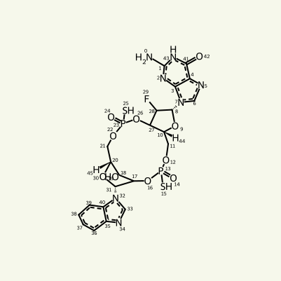 Nc1nc2c(ncn2[C@@H]2O[C@@H]3COP(=O)(S)OC4C(O)[C@@H](COP(=O)(S)OC3C2F)O[C@H]4n2cnc3ccccc32)c(=O)[nH]1